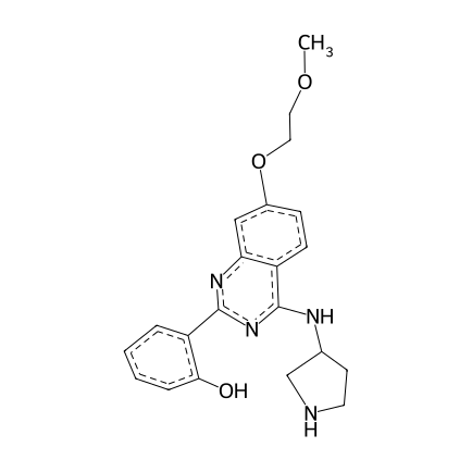 COCCOc1ccc2c(NC3CCNC3)nc(-c3ccccc3O)nc2c1